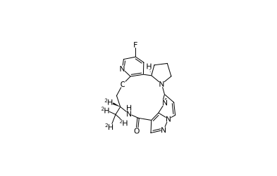 [2H]C([2H])([2H])[C@]1([2H])CCc2ncc(F)cc2[C@H]2CCCN2c2ccn3ncc(c3n2)C(=O)N1